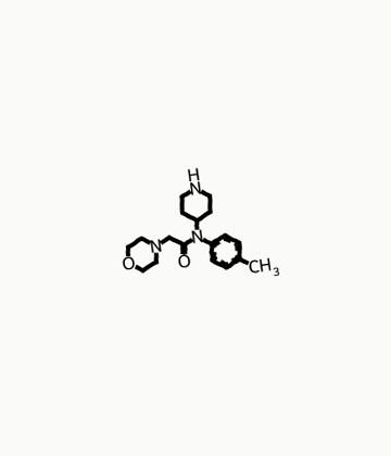 Cc1ccc(N(C(=O)CN2CCOCC2)C2CCNCC2)cc1